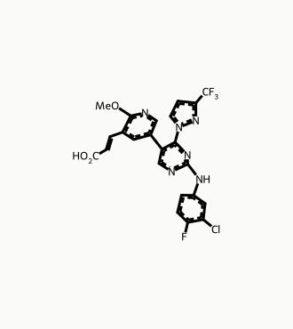 COc1ncc(-c2cnc(Nc3ccc(F)c(Cl)c3)nc2-n2ccc(C(F)(F)F)n2)cc1C=CC(=O)O